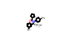 CCc1ccc(OCC2CCCC2)c([C@@H](Nc2ccc(C#N)cc2)C(=O)O)c1